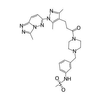 Cc1nn(-c2ccc3nnc(C)n3n2)c(C)c1CCC(=O)N1CCN(Cc2cccc(NS(C)(=O)=O)c2)CC1